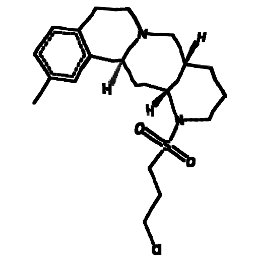 Cc1ccc2c(c1)[C@@H]1C[C@@H]3[C@@H](CCCN3S(=O)(=O)CCCCl)CN1CC2